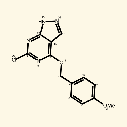 COc1ccc(COc2nc(Cl)nc3[nH]ncc23)cc1